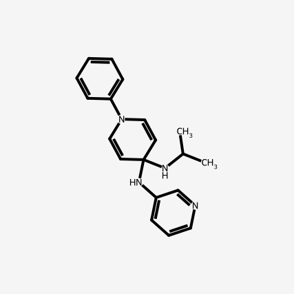 CC(C)NC1(Nc2cccnc2)C=CN(c2ccccc2)C=C1